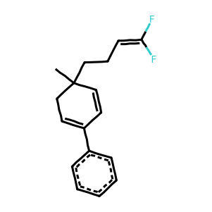 CC1(CCC=C(F)F)C=CC(c2ccccc2)=CC1